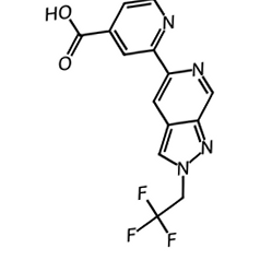 O=C(O)c1ccnc(-c2cc3cn(CC(F)(F)F)nc3cn2)c1